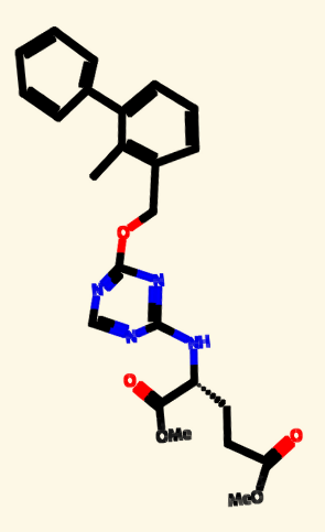 COC(=O)CC[C@@H](Nc1ncnc(OCc2cccc(-c3ccccc3)c2C)n1)C(=O)OC